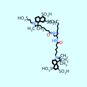 CC1=[N+](CCCCCC(=O)NCC(CCCCCC(=O)O)CNC(=O)CCCCCC2(C)C(C)=[N+](CCCS(=O)(=O)O)c3ccc4c(S(=O)(=O)O)cc(S(=O)(=O)O)cc4c32)c2ccc3c(S(=O)(=O)O)cc(S(=O)(=O)O)cc3c2C1(C)C